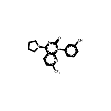 N#Cc1cccc(-n2c(=O)nc(N3CCCC3)c3ccc(C(F)(F)F)nc32)c1